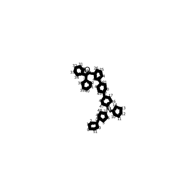 c1ccc(-c2ccc(N(c3ccccc3)c3ccc(-c4ccc(-c5cccc(-c6oc7ccccc7c6-c6ccccc6)c5)cc4)cc3)cc2)cc1